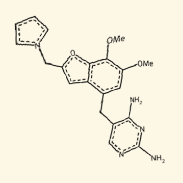 COc1cc(Cc2cnc(N)nc2N)c2cc(Cn3cccc3)oc2c1OC